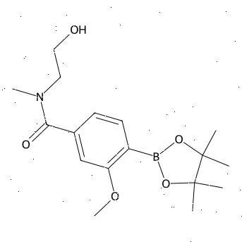 COc1cc(C(=O)N(C)CCO)ccc1B1OC(C)(C)C(C)(C)O1